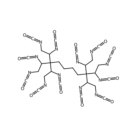 O=C=NCC(N=C=O)C(CCCCC(C(CN=C=O)N=C=O)(C(CN=C=O)N=C=O)C(CN=C=O)N=C=O)(C(CN=C=O)N=C=O)C(CN=C=O)N=C=O